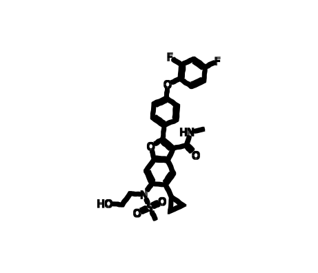 CNC(=O)c1c(-c2ccc(Oc3ccc(F)cc3F)cc2)oc2cc(N(CCO)S(C)(=O)=O)c(C3CC3)cc12